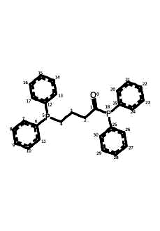 O=C(CCCP(c1ccccc1)c1ccccc1)P(c1ccccc1)c1ccccc1